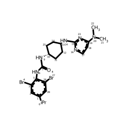 CC(C)c1cc(Br)c(NC(=O)N[C@H]2CC[C@@H](Nc3nccc(N(C)C)n3)CC2)c(Br)c1